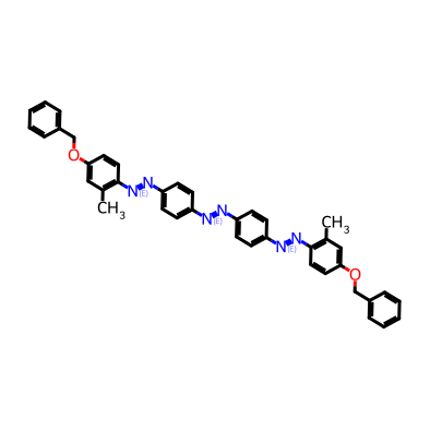 Cc1cc(OCc2ccccc2)ccc1/N=N/c1ccc(/N=N/c2ccc(/N=N/c3ccc(OCc4ccccc4)cc3C)cc2)cc1